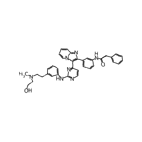 CN(CCO)CCc1cccc(Nc2nccc(-c3c(-c4cccc(NC(=O)Cc5ccccc5)c4)nc4ccccn34)n2)c1